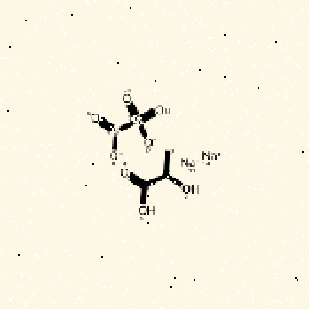 CC(O)C(=O)O.O=S([O-])S(=O)(=O)[O-].[Na+].[Na+]